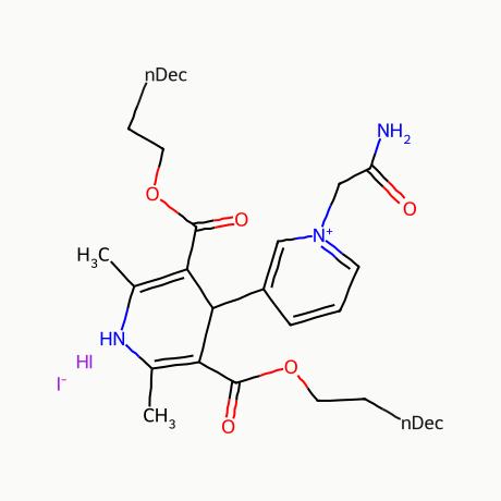 CCCCCCCCCCCCOC(=O)C1=C(C)NC(C)=C(C(=O)OCCCCCCCCCCCC)C1c1ccc[n+](CC(N)=O)c1.I.[I-]